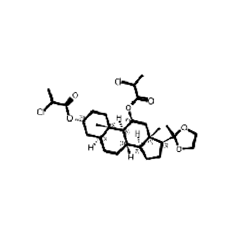 CC(Cl)C(=O)O[C@@H]1CC[C@@]2(C)[C@@H](CC[C@@H]3[C@@H]2[C@@H](OC(=O)C(C)Cl)C[C@]2(C)[C@@H](C4(C)OCCO4)CC[C@@H]32)C1